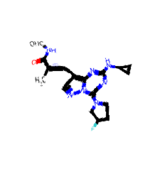 C/C(=C\c1cnn2c(N3CCC(F)C3)nc(NC3CC3)nc12)C(=O)NC=O